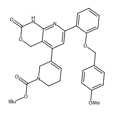 COc1ccc(COc2ccccc2-c2cc(C3=CCCN(C(=O)OC(C)(C)C)C3)c3c(n2)NC(=O)OC3)cc1